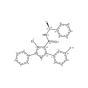 CCn1c(-c2ccccc2)nc(-c2cccc(F)c2)c1C(=O)N[C@@H](C)c1ccccc1